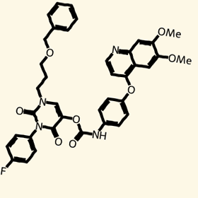 COc1cc2nccc(Oc3ccc(NC(=O)Oc4cn(CCCOCc5ccccc5)c(=O)n(-c5ccc(F)cc5)c4=O)cc3)c2cc1OC